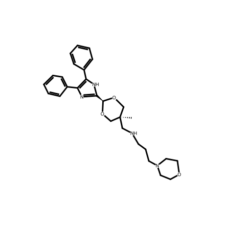 C[C@]1(CNCCCN2CCOCC2)CO[C@@H](c2nc(-c3ccccc3)c(-c3ccccc3)[nH]2)OC1